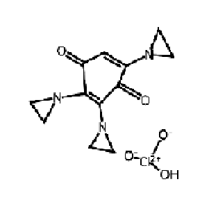 O=C1C=C(N2CC2)C(=O)C(N2CC2)=C1N1CC1.[O-][Cl+2]([O-])O